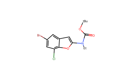 CCN(C(=O)OC(C)(C)C)c1cc2cc(Br)cc(Cl)c2o1